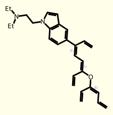 C=C/C=C(\C=C)O/C(C=C)=C/C=C(\C=C)c1ccc2c(ccn2CCN(CC)CC)c1